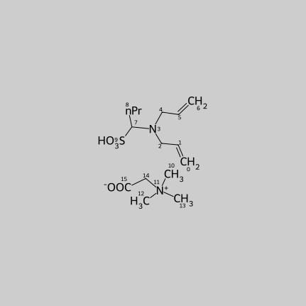 C=CCN(CC=C)C(CCC)S(=O)(=O)O.C[N+](C)(C)CC(=O)[O-]